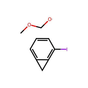 COC[O].Ic1cccc2c1C2